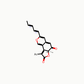 C/C=C/C=C/C1=CC2=CC(=O)[C@@]3(C)OC(=O)C(C(C)=O)=C3C2=CO1